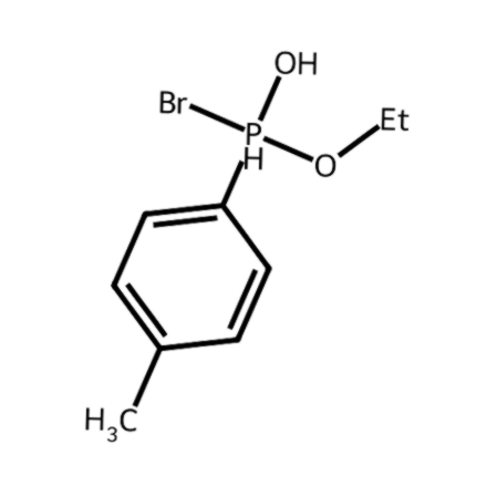 CCO[PH](O)(Br)c1ccc(C)cc1